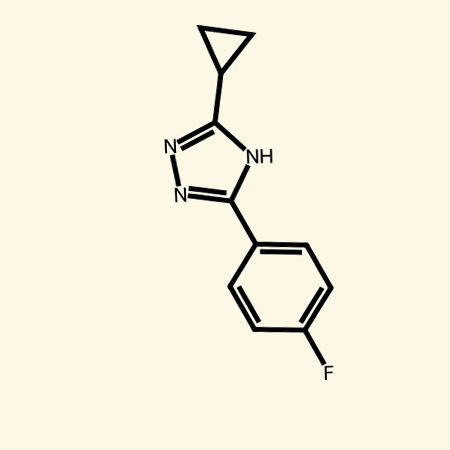 Fc1ccc(-c2nnc(C3CC3)[nH]2)cc1